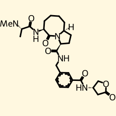 CN[C@@H](C)C(=O)N[C@H]1CCCC[C@H]2CC[C@@H](C(=O)NCc3cccc(C(=O)N[C@@H]4COC(=O)C4)c3)N2C1=O